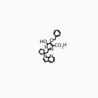 O=C(O)c1nc(CC2(n3ccc4cccnc43)CCCC2)nc(O)c1OCc1ccccc1